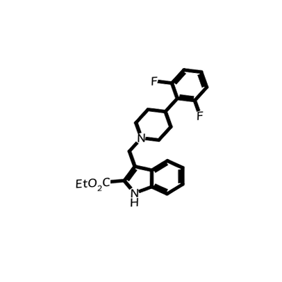 CCOC(=O)c1[nH]c2ccccc2c1CN1CCC(c2c(F)cccc2F)CC1